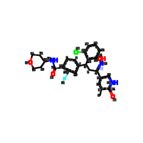 Cc1cc(/C(CC(c2ccc(C(=O)NC3CCOCC3)c(F)c2)c2ccccc2Cl)=N/O)c[nH]c1=O